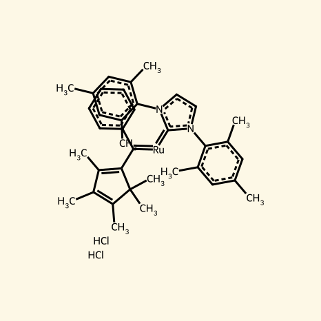 CC1=C(C)C(C)(C)C([C](=[Ru]=[c]2n(-c3c(C)cc(C)cc3C)ccn2-c2c(C)cc(C)cc2C)c2ccccc2)=C1C.Cl.Cl